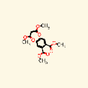 COC(=O)CC(=O)OC.COC(=O)c1ccccc1C(=O)OC